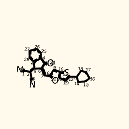 N#CC(C#N)=C1/C(=C/c2cc3sc(C4CCCCC4)cc3o2)C(=O)c2ccccc21